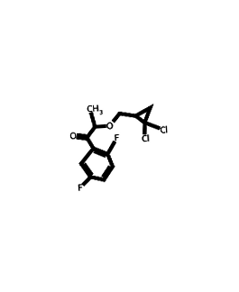 CC(OCC1CC1(Cl)Cl)C(=O)c1cc(F)ccc1F